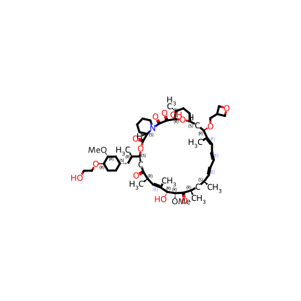 CO[C@@H]1C[C@H](C[C@@H](C)[C@@H]2CC(=O)[C@H](C)/C=C(\C)[C@@H](O)[C@@H](OC)C(=O)[C@H](C)C[C@H](C)/C=C/C=C/C=C(\C)[C@H](OCC3COC3)C[C@@H]3CC[C@@H](C)[C@@](O)(O3)C(=O)C(=O)N3CCCC[C@H]3C(=O)O2)CC[C@H]1OCCO